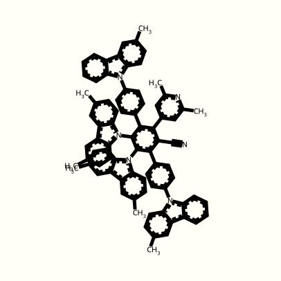 Cc1ccc2c(c1)c1ccccc1n2-c1ccc(-c2c(C#N)c(-c3cc(C)nc(C)c3)c(-c3ccc(-n4c5ccccc5c5cc(C)ccc54)cc3)c(-n3c4ccc(C)cc4c4cc(C)ccc43)c2-n2c3ccc(C)cc3c3cc(C)ccc32)cc1